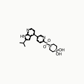 CC(C)c1cc2c(-c3ccc(S(=O)(=O)N4CCS(O)(O)CC4)nc3)ccnc2[nH]1